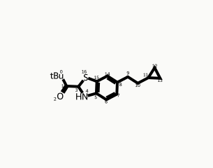 CC(C)(C)C(=O)C1Nc2ccc(CCC3CC3)cc2S1